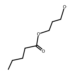 CCCCC(=O)OCCC[O]